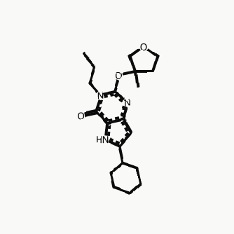 CCCn1c(OC2(C)CCOC2)nc2cc(C3CCCCC3)[nH]c2c1=O